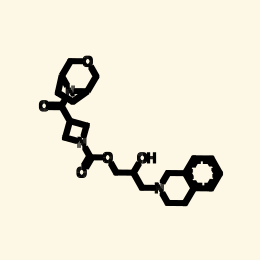 O=C(OCC(O)CN1CCc2ccccc2C1)N1CC(C(=O)N2C3CCC2COC3)C1